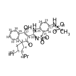 CC(C)CCC1(CCC(C)C)C(=O)C(C2=NS(=O)(=O)c3cc(NS(C)(=O)=O)ccc3N2)=C(O)c2ccccc21